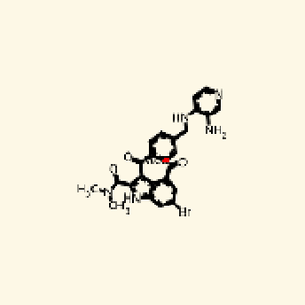 COC(=O)c1cc(Br)cc2[nH]c(C(=O)N(C)C)c(C(=O)c3ccc(CNc4ccncc4N)cc3)c12